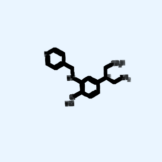 Cl.NC[C@H](CC(=O)O)c1ccc(Cl)c(NCc2ccncc2)c1